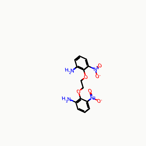 Nc1cccc([N+](=O)[O-])c1OCCOc1c(N)cccc1[N+](=O)[O-]